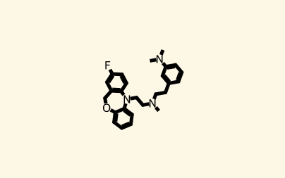 CN(CCc1cccc(N(C)C)c1)CCN1c2ccc(F)cc2COc2ccccc21